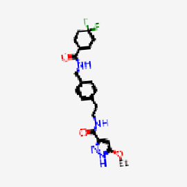 CCOc1cc(C(=O)NCCc2ccc(CNC(=O)C3CCC(F)(F)CC3)cc2)n[nH]1